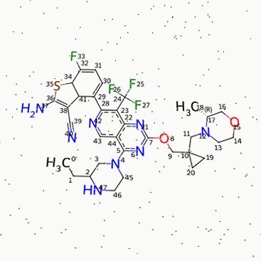 CCC1CN(c2nc(OCC3(CN4CCOC[C@H]4C)CC3)nc3c(C(F)(F)F)c(C4=CC=C(F)C5SC(N)=C(C#N)C45)ncc23)CCN1